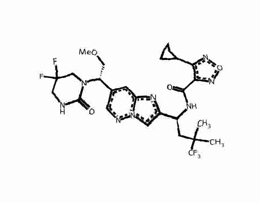 COC[C@H](c1cnn2cc([C@H](CC(C)(C)C(F)(F)F)NC(=O)c3nonc3C3CC3)nc2c1)N1CC(F)(F)CNC1=O